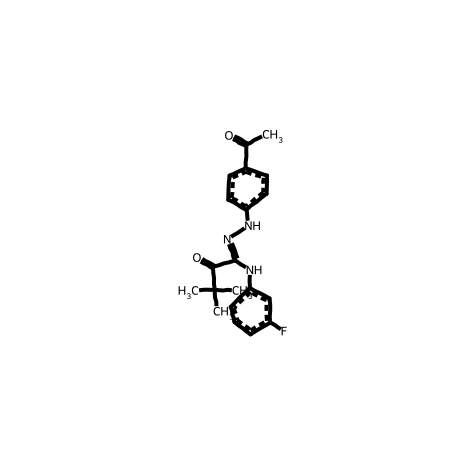 CC(=O)c1ccc(N/N=C(\Nc2cccc(F)c2)C(=O)C(C)(C)C)cc1